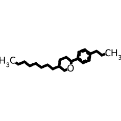 CCCCCCCCC1CCC(c2ccc(CCC)cc2)OC1